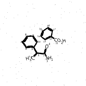 CC(C(N)=O)c1ccccc1.O=C(O)c1ccccc1